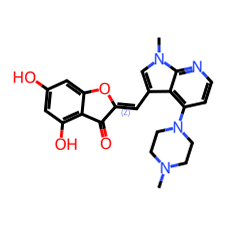 CN1CCN(c2ccnc3c2c(/C=C2\Oc4cc(O)cc(O)c4C2=O)cn3C)CC1